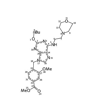 CCCCOc1nc(NCCN2CCOCC2)c2ncn(Cc3ccc(C(=O)OC)cc3OC)c2n1